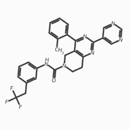 Cc1ccccc1-c1nc(-c2cncnc2)nc2c1CN(C(=O)Nc1cccc(CC(F)(F)F)c1)CC2